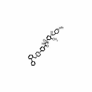 CCCN1CCC(CNc2ccc(S(=O)(=O)NC(=O)c3ccc(N4CCN(Cc5ccccc5-c5ccccc5)CC4)cc3)cc2C)CC1